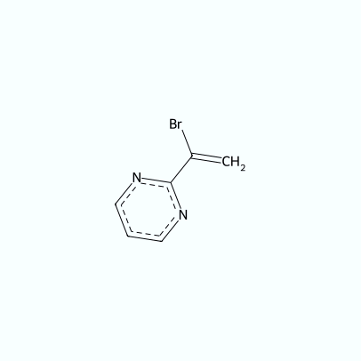 C=C(Br)c1ncccn1